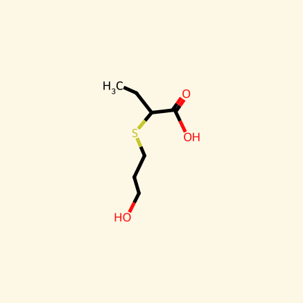 CCC(SCCCO)C(=O)O